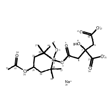 CO[N+]1(OC(=O)CC(O)(CC(=O)[O-])C(=O)[O-])C(C)(C)CC(OC(C)=O)CC1(C)C.[Na+]